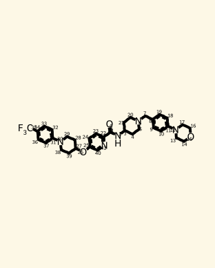 O=C(NC1CCN(Cc2ccc(N3CCOCC3)cc2)CC1)c1ccc(OC2CCN(c3ccc(C(F)(F)F)cc3)CC2)cn1